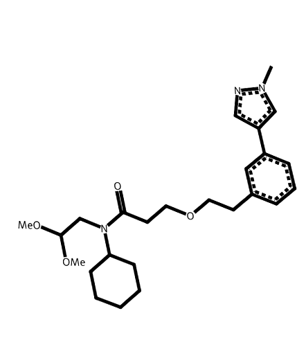 COC(CN(C(=O)CCOCCc1cccc(-c2cnn(C)c2)c1)C1CCCCC1)OC